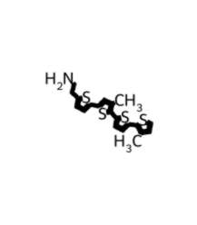 Cc1ccsc1-c1ccc(-c2sc(-c3ccc(CCN)s3)cc2C)s1